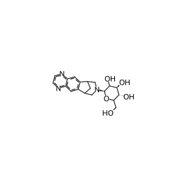 OCC1O[C@@H](N2CC3CC(C2)c2cc4nccnc4cc23)C(O)[C@@H](O)[C@@H]1O